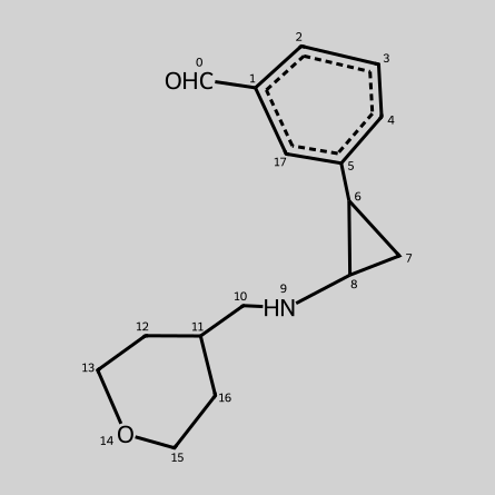 O=Cc1cccc(C2CC2NCC2CCOCC2)c1